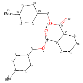 CCCCC1CCC(COC(=O)C2CCCCC2C(=O)OCC2CCC(CCCC)CC2)CC1